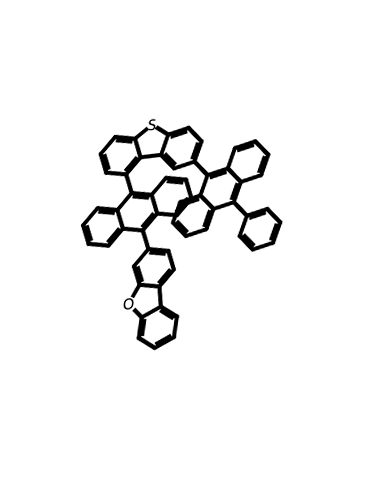 c1ccc(-c2c3ccccc3c(-c3ccc4sc5cccc(-c6c7ccccc7c(-c7ccc8c(c7)oc7ccccc78)c7ccccc67)c5c4c3)c3ccccc23)cc1